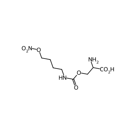 NC(COC(=O)NCCCCO[N+](=O)[O-])C(=O)O